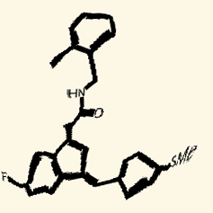 CSc1ccc(/C=C2\C=C(CC(=O)NCc3ccccc3C)c3cc(F)ccc32)cc1